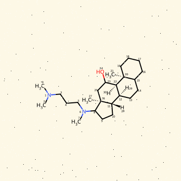 CN(C)CCCN(C)C1CC[C@H]2[C@@H]3CCC4CCCC[C@]4(C)[C@@H]3C(O)C[C@]12C